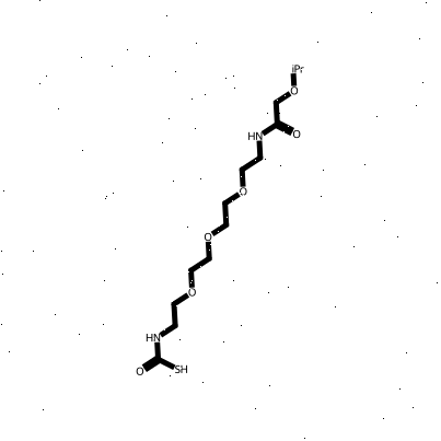 CC(C)OCC(=O)NCCOCCOCCOCCNC(=O)S